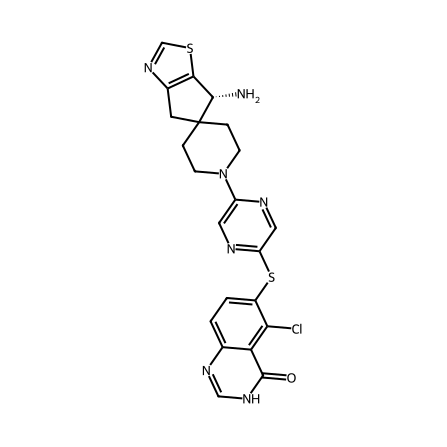 N[C@H]1c2scnc2CC12CCN(c1cnc(Sc3ccc4nc[nH]c(=O)c4c3Cl)cn1)CC2